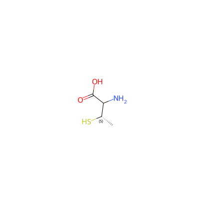 C[C@H](S)C(N)C(=O)O